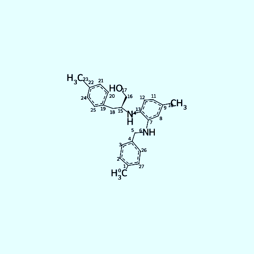 Cc1ccc(CNc2cc(C)ccc2N[C@H](CO)Cc2ccc(C)cc2)cc1